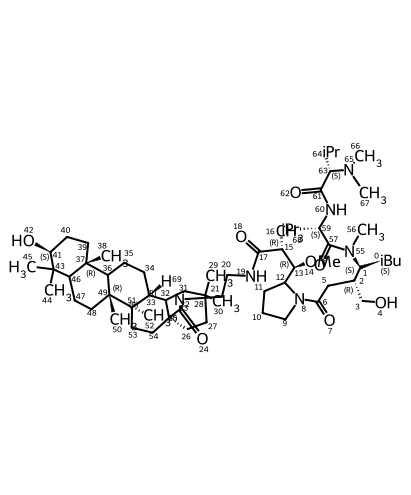 CC[C@H](C)[C@@H]([C@H](CO)CC(=O)N1CCCC1[C@H](OC)[C@@H](C)C(=O)NCCN1C(=O)[C@]23CCC(C)(C)C1C2[C@H]1CCC2[C@@]4(C)CC[C@H](O)C(C)(C)C4CC[C@@]2(C)[C@]1(C)CC3)N(C)C(=O)[C@@H](NC(=O)[C@H](C(C)C)N(C)C)C(C)C